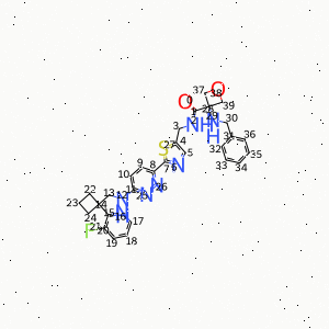 O=C(NCc1cnc(-c2ccc(NCC3(c4ncccc4F)CCC3)nn2)s1)C1(NCc2ccccc2)COC1